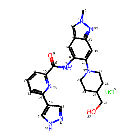 Cl.Cn1cc2cc(NC(=O)c3cccc(-c4cn[nH]c4)n3)c(N3CCC(CO)CC3)cc2n1